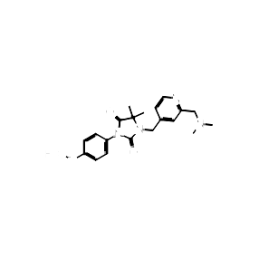 CN(C)Cc1cc(CN2C(=O)N(c3ccc(SC(F)(F)F)cc3)C(=O)C2(C)C)ccn1